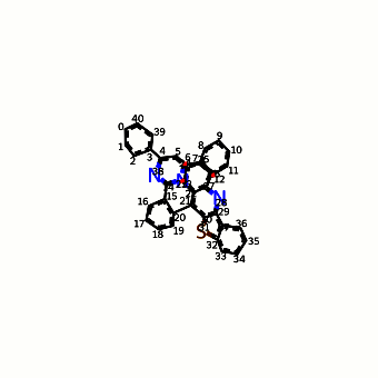 c1ccc(-c2cc(-c3ccccc3)nc(-c3ccccc3-c3c4ccccc4nc4c3sc3ccccc34)n2)cc1